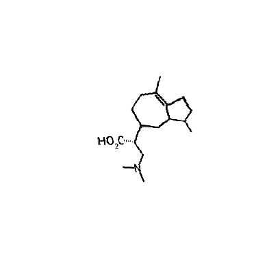 CC1=C2CCC(C)C2CC([C@H](CN(C)C)C(=O)O)CC1